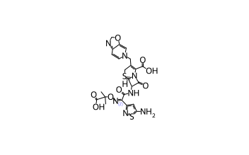 CC(C)(O/N=C(\C(=O)NC1C(=O)N2C(C(=O)O)=C(CN3C=CC4=NCOC4=C3)CS[C@H]12)c1cc(N)sn1)C(=O)O